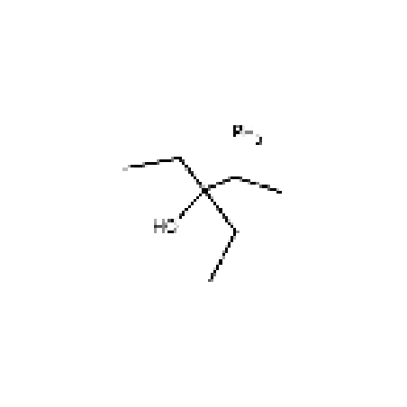 CCC(O)(CC)CC.P